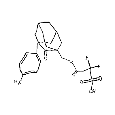 Cc1ccc(C23CC4CC(CC(COC(=O)C(F)(F)S(=O)(=O)O)(C4)C2=O)C3)cc1